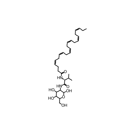 CC/C=C\C/C=C\C/C=C\C/C=C\C/C=C\C/C=C\CCC(=O)N[C@H](C(=O)NC1C(O)OC(CO)C(O)C1O)C(C)C